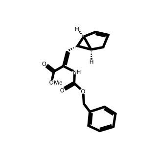 COC(=O)/C(=C/[C@@H]1[C@H]2C=CC[C@H]21)NC(=O)OCc1ccccc1